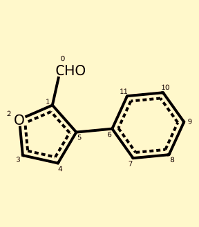 O=Cc1occc1-c1ccccc1